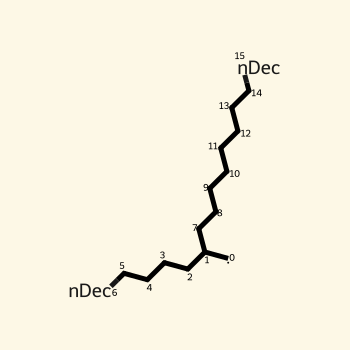 [CH2]C(CCCCCCCCCCCCCC)CCCCCCCCCCCCCCCCCC